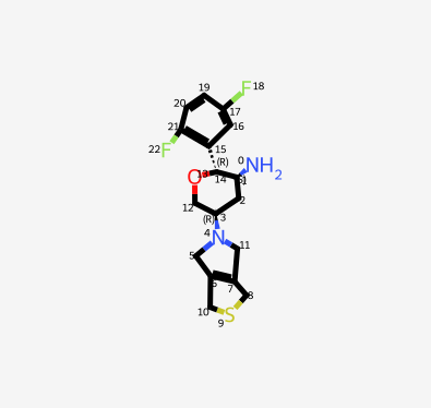 N[C@H]1C[C@@H](N2CC3=C(CSC3)C2)CO[C@@H]1c1cc(F)ccc1F